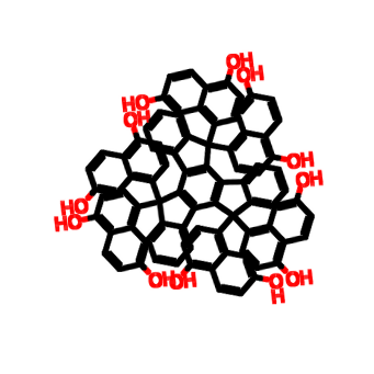 Oc1ccc2c(O)ccc(C3(c4ccc(O)c5ccc(O)cc45)c4ccccc4-c4c3c3c(c5c4C(c4ccc(O)c6ccc(O)cc46)(c4ccc(O)c6ccc(O)cc46)c4ccccc4-5)C(c4ccc(O)c5ccc(O)cc45)(c4ccc(O)c5ccc(O)cc45)c4ccccc4-3)c2c1